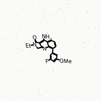 CCN1Cc2nc3c(-c4cc(F)cc(OC)c4)cccc3c(N)c2C1=O